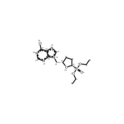 CCOP(=O)(OCC)[C@@H]1CC[C@@H](Cn2cnc3c(Cl)ncnc32)O1